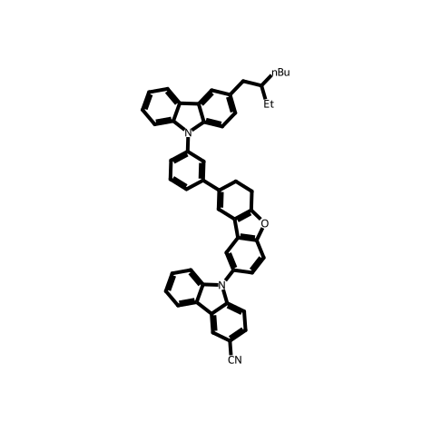 CCCCC(CC)Cc1ccc2c(c1)c1ccccc1n2-c1cccc(C2=Cc3c(oc4ccc(-n5c6ccccc6c6cc(C#N)ccc65)cc34)CC2)c1